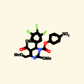 COCC1=C(C(=O)OC)C(c2cc(F)c(F)c(F)c2)N(C(=O)Oc2ccc([N+](=O)[O-])cc2)C(OC)=N1